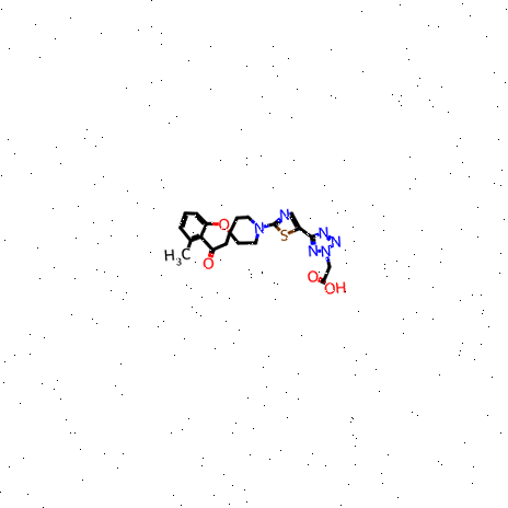 Cc1cccc2c1C(=O)CC1(CCN(c3ncc(-c4nnn(CC(=O)O)n4)s3)CC1)O2